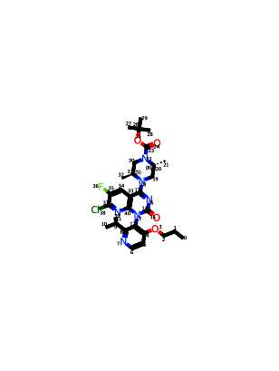 CCCOc1ccnc(C(C)C)c1-n1c(=O)nc(N2C[C@@H](C)N(C(=O)OC(C)(C)C)C[C@@H]2C)c2cc(F)c(Cl)nc21